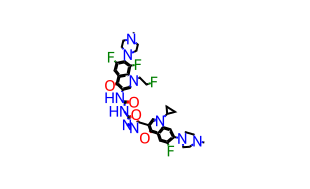 CN1CCN(c2cc3c(cc2F)c(=O)c(-c2nnc(NC(=O)Nc4cn(CCF)c5c(F)c(N6CCN(C)CC6)c(F)cc5c4=O)o2)cn3C2CC2)CC1